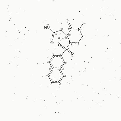 CN1CCN(S(=O)(=O)c2ccc3ccccc3c2)[C@@](C)(CC(=O)O)C1=O